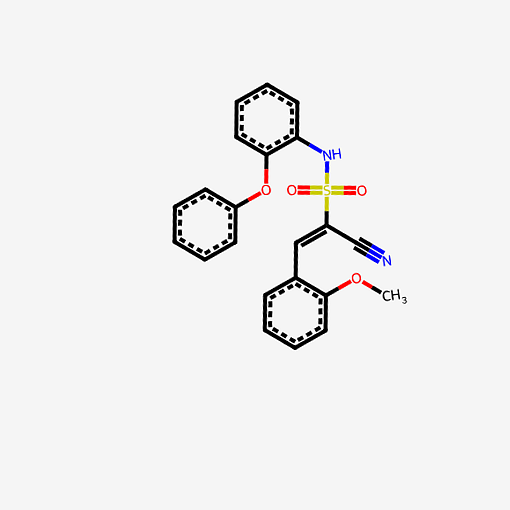 COc1ccccc1/C=C(\C#N)S(=O)(=O)Nc1ccccc1Oc1ccccc1